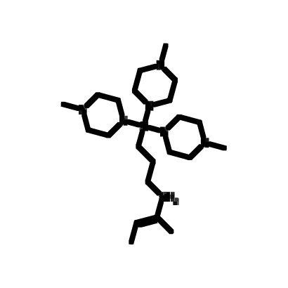 CC=C(C)[SiH2]CCC[Si](N1CCN(C)CC1)(N1CCN(C)CC1)N1CCN(C)CC1